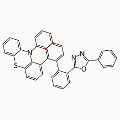 c1ccc(-c2nnc(-c3ccccc3-c3ccccc3-c3cccc4c3N(c3ccccc3)c3ccccc3S4)o2)cc1